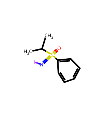 CC(C)S(=O)(=NI)c1ccccc1